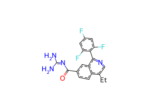 CCc1cnc(-c2c(F)cc(F)cc2F)c2cc(C(=O)N=C(N)N)ccc12